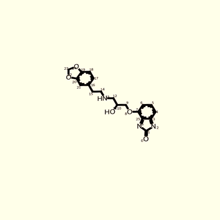 O=C1N=c2cccc(OCC(O)CNCCc3ccc4c(c3)OCO4)c2=N1